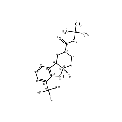 CC(C)(C)OC(=O)N1CC[C@@H]2Nc3c(cccc3C(F)(F)F)C2C1